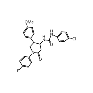 COc1ccc(C2CN(c3ccc(F)cc3)C(=O)CC2NC(=O)Nc2ccc(Cl)cc2)cc1